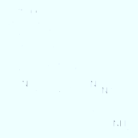 CN1Cc2cc(-c3ccc(CN)nn3)ccc2C(c2ccc3occc3c2)C1